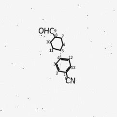 N#Cc1ccc([C@H]2CC[C@H](C=O)CC2)cc1